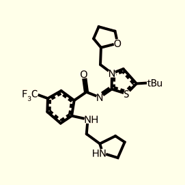 CC(C)(C)c1cn(CC2CCCO2)c(=NC(=O)c2cc(C(F)(F)F)ccc2NCC2CCCN2)s1